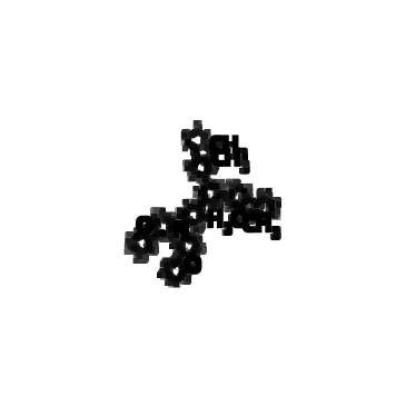 CC1(C)c2ccccc2-c2ccc(-c3cc(-c4ccc(N(c5ccc6oc7ccccc7c6c5)c5ccc6oc7ccccc7c6c5)cc4)cc(-c4ccc5c(c4)C(C)(C)c4ccccc4-5)c3)cc21